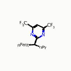 CCCCCC(CCC)c1nc(C(F)(F)F)cc(C(F)(F)F)n1